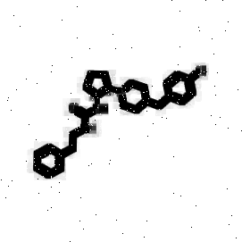 O=C(NCCc1ccccc1)N[C@@H]1CCC[C@H]1N1CCC(Cc2ccc(Cl)cc2)CC1